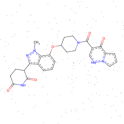 Cn1nc(C2CCC(=O)NC2=O)c2cccc(OC3CCN(C(=O)c4c[nH]n5cccc5c4=O)CC3)c21